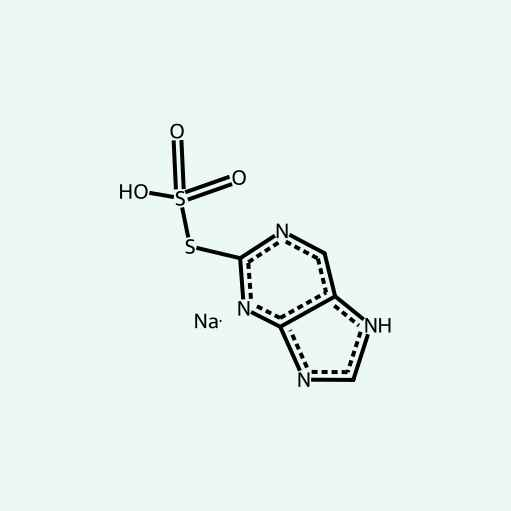 O=S(=O)(O)Sc1ncc2[nH]cnc2n1.[Na]